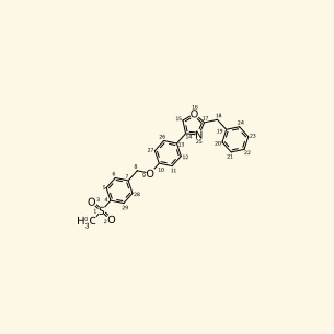 CS(=O)(=O)c1ccc(COc2ccc(-c3coc(Cc4ccccc4)n3)cc2)cc1